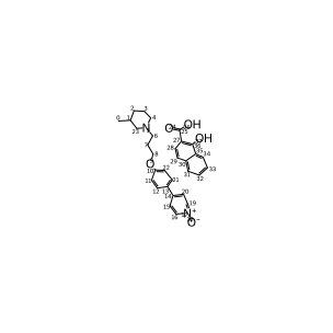 CC1CCCN(CCCOc2ccc(-c3cc[n+]([O-])cc3)cc2)C1.O=C(O)c1ccc2ccccc2c1O